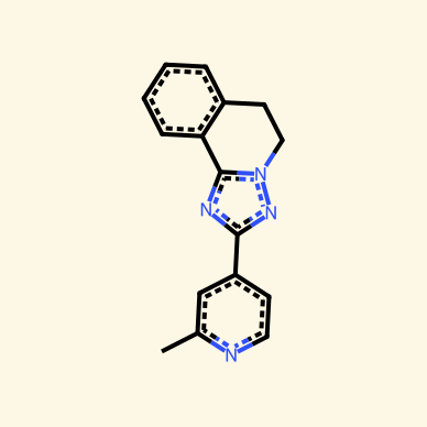 Cc1cc(-c2nc3n(n2)CCc2ccccc2-3)ccn1